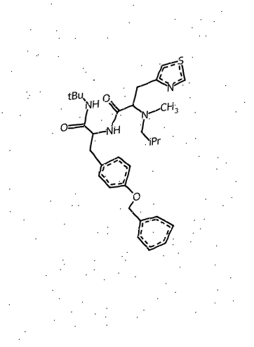 CC(C)CN(C)C(Cc1cscn1)C(=O)NC(Cc1ccc(OCc2ccccc2)cc1)C(=O)NC(C)(C)C